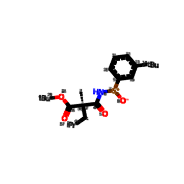 CC(C)C[C@](C)(C(=O)N[S+]([O-])c1cccc(C(C)(C)C)c1)C(=O)OC(C)(C)C